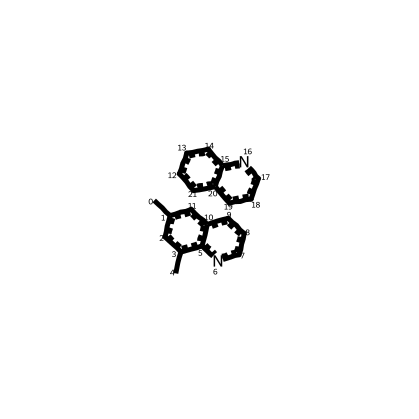 Cc1cc(C)c2ncccc2c1.c1ccc2ncccc2c1